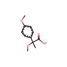 COc1ccc(C(C)(OC)C(=O)O)cc1